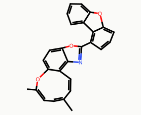 Cc1ccc(C)oc2ccc3oc(-c4cccc5oc6ccccc6c45)nc3c2cc1